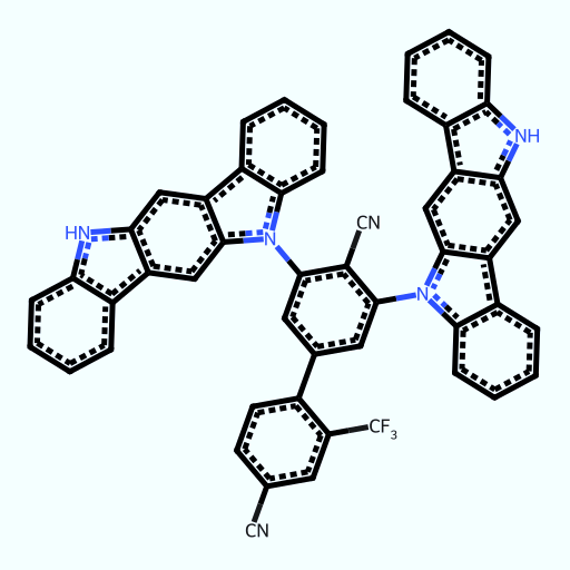 N#Cc1ccc(-c2cc(-n3c4ccccc4c4cc5[nH]c6ccccc6c5cc43)c(C#N)c(-n3c4ccccc4c4cc5[nH]c6ccccc6c5cc43)c2)c(C(F)(F)F)c1